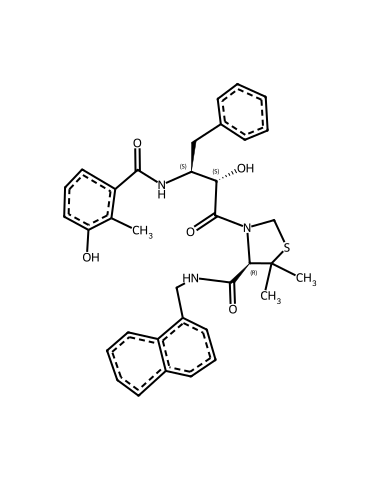 Cc1c(O)cccc1C(=O)N[C@@H](Cc1ccccc1)[C@H](O)C(=O)N1CSC(C)(C)[C@H]1C(=O)NCc1cccc2ccccc12